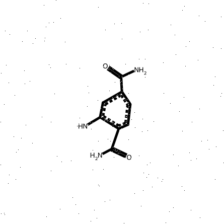 [NH]c1cc(C(N)=O)ccc1C(N)=O